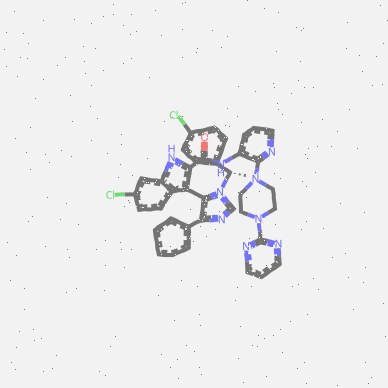 C[C@@H](c1ccc(Cl)cc1)n1cnc(-c2ccccc2)c1-c1c(C(=O)Nc2cccnc2N2CCN(c3ncccn3)CC2)[nH]c2cc(Cl)ccc12